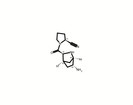 N#C[C@@H]1CCCN1C(=O)[C@H]1N[C@@H]2C[C@H]1C[C@H]2N